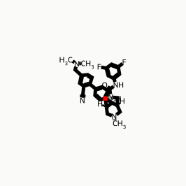 CN(C)Cc1ccc(-c2ccc(C3(O)[C@@H]4CN(C)C[C@H]3CN(C(=O)Nc3cc(F)cc(F)c3)C4)cc2)c(C#N)c1